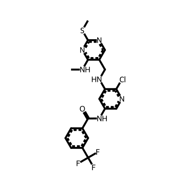 CNc1nc(SC)ncc1CNc1cc(NC(=O)c2cccc(C(F)(F)F)c2)cnc1Cl